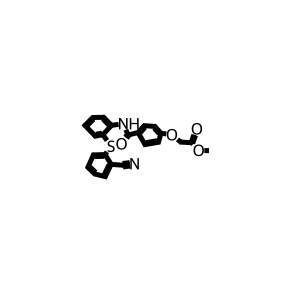 COC(=O)COc1ccc(C(=O)Nc2ccccc2Sc2ccccc2C#N)cc1